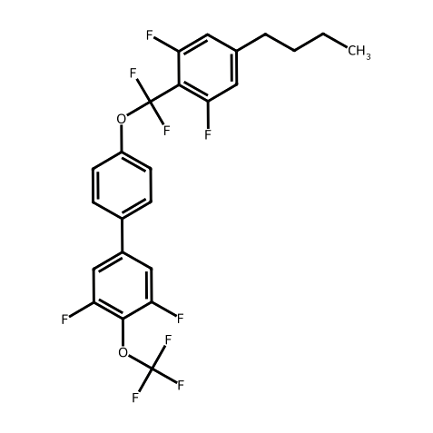 CCCCc1cc(F)c(C(F)(F)Oc2ccc(-c3cc(F)c(OC(F)(F)F)c(F)c3)cc2)c(F)c1